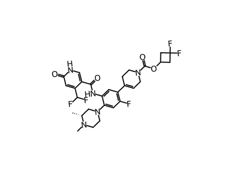 C[C@@H]1CN(c2cc(F)c(C3=CCN(C(=O)OC4CC(F)(F)C4)CC3)cc2NC(=O)c2c[nH]c(=O)cc2C(F)F)CCN1C